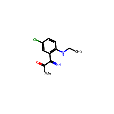 COC(=O)C(=N)c1cc(Cl)ccc1NCC=O